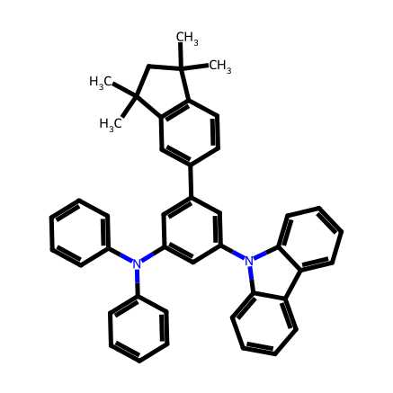 CC1(C)CC(C)(C)c2cc(-c3cc(N(c4ccccc4)c4ccccc4)cc(-n4c5ccccc5c5ccccc54)c3)ccc21